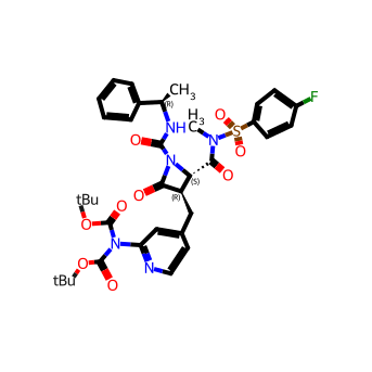 C[C@@H](NC(=O)N1C(=O)[C@H](Cc2ccnc(N(C(=O)OC(C)(C)C)C(=O)OC(C)(C)C)c2)[C@H]1C(=O)N(C)S(=O)(=O)c1ccc(F)cc1)c1ccccc1